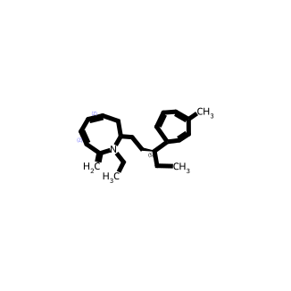 C=C1/C=C\C=C/CC(CC[C@H](CC)C2C=CC=C(C)C=C2)N1CC